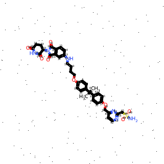 CC(C)(c1ccc(OCCCCNc2ccc3c(c2)C(=O)N(C2CCC(=O)NC2=O)C3=O)cc1)c1ccc(OCc2ccnc(CS(N)(=O)=O)n2)cc1